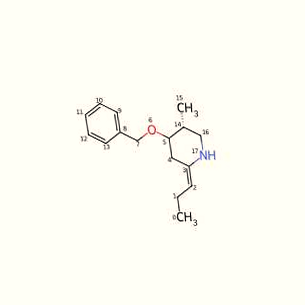 CC/C=C1\CC(OCc2ccccc2)[C@H](C)CN1